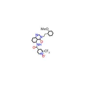 COc1ccccc1CCn1cnc2cccc(NC(=O)c3cc[n+]([O-])c(C(F)(F)F)c3)c2c1=O